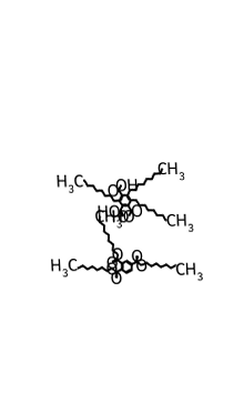 CCCCCCCCCc1c(CCCCCCCCC)c(C(=O)O)c(C(=O)O)c(CCCCCCCCC)c1C(=O)O.CCCCCCCCOC(=O)c1ccc(C(=O)OCCCCCCCC)c(C(=O)OCCCCCCCC)c1